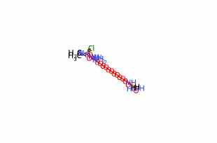 Cc1cc(C2CCC(N3C[C@H](C(=O)NC/C(N)=C/N(N)CCOCCOCCOCCOCCOCCOCCOCCOCCOCCOCCOCCNC(=O)CCCC[C@@H]4SC[C@@H]5NC(=O)N[C@@H]54)OC[C@@H]3Cc3ccc(Cl)cc3)CC2)nn1C